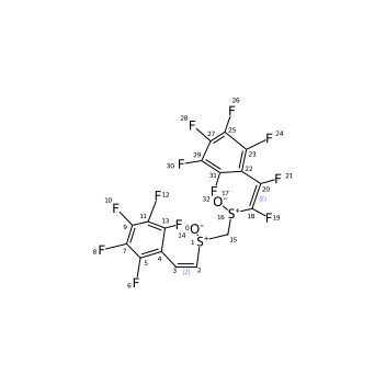 [O-][S+](/C=C\c1c(F)c(F)c(F)c(F)c1F)C[S+]([O-])/C(F)=C(/F)c1c(F)c(F)c(F)c(F)c1F